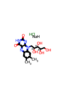 Cc1cc2nc3c(=O)[nH]c(=O)nc-3n(C[C@H](O)[C@H](O)[C@H](O)CO)c2cc1C.Cl.[NaH]